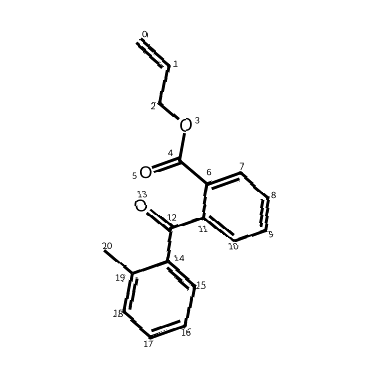 C=CCOC(=O)c1ccccc1C(=O)c1ccccc1C